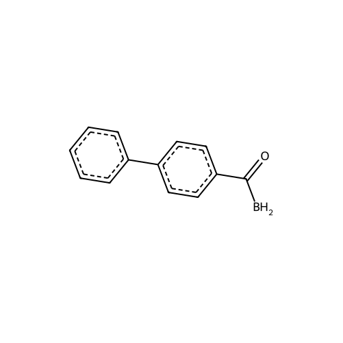 BC(=O)c1ccc(-c2ccccc2)cc1